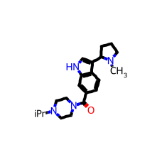 CC(C)N1CCN(C(=O)c2ccc3c(C4CCCN4C)c[nH]c3c2)CC1